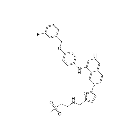 CS(=O)(=O)CCNCc1ccc(N2C=CC3=CNC=C(Nc4ccc(OCc5cccc(F)c5)cc4)C3=C2)o1